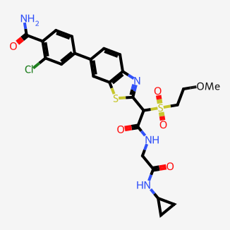 COCCS(=O)(=O)C(C(=O)NCC(=O)NC1CC1)c1nc2ccc(-c3ccc(C(N)=O)c(Cl)c3)cc2s1